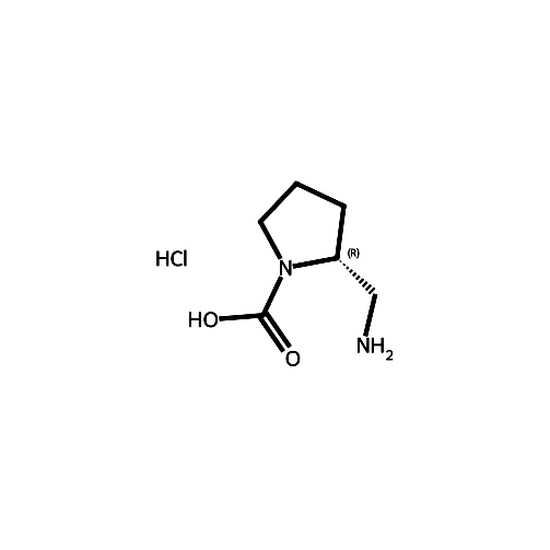 Cl.NC[C@H]1CCCN1C(=O)O